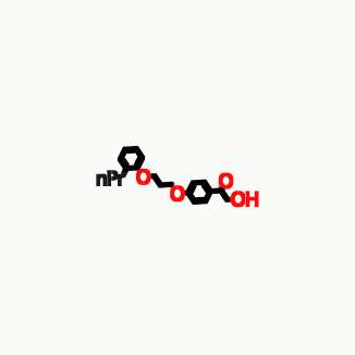 CCCc1ccccc1OCCCOc1ccc(C(=O)CO)cc1